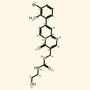 Cc1c(Br)cccc1-c1ccn2c(=O)c(COC(=O)NCCO)cnc2c1